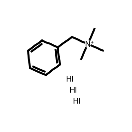 C[N+](C)(C)Cc1ccccc1.I.I.I